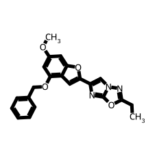 CCc1nn2cc(-c3cc4c(OCc5ccccc5)cc(OC)cc4o3)nc2o1